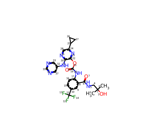 CC(C)(O)CNC(=O)c1cc(C(F)(F)F)ccc1NC(=O)Oc1nc(C2CC2)cnc1Nc1cncnc1